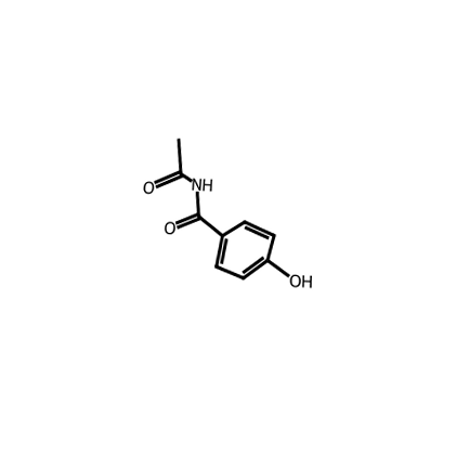 CC(=O)NC(=O)c1ccc(O)cc1